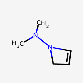 CN(C)N1C=CC1